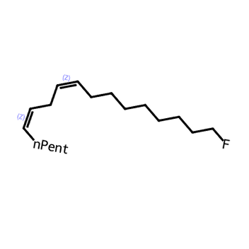 CCCCC/C=C\C/C=C\CCCCCCCCF